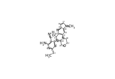 CSc1nc(N)c(C#N)c(NC(C)c2nc3ccn(C)c3cc2N2CCOCC2)n1